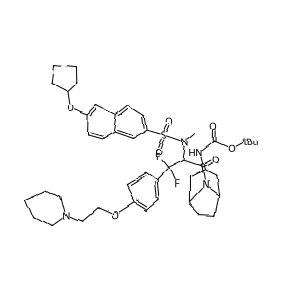 CN(C(C(=O)N1C2CCC1CC(NC(=O)OC(C)(C)C)C2)C(F)(F)c1ccc(OCCN2CCCCC2)cc1)S(=O)(=O)c1ccc2cc(OC3CCCC3)ccc2c1